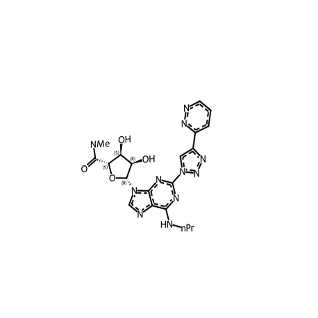 CCCNc1nc(-n2cc(-c3cccnn3)nn2)nc2c1ncn2[C@@H]1O[C@H](C(=O)NC)[C@@H](O)[C@H]1O